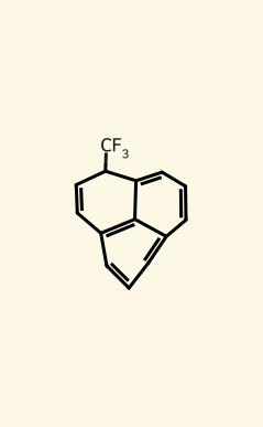 FC(F)(F)C1C=Cc2cccc3cccc1c23